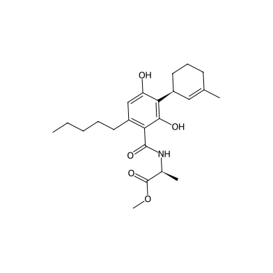 CCCCCc1cc(O)c([C@@H]2C=C(C)CCC2)c(O)c1C(=O)N[C@@H](C)C(=O)OC